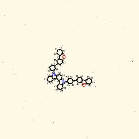 c1cc(-c2ccc3oc4ccccc4c3c2)cc(-n2c3ccccc3c3c4c5ccccc5n(-c5ccc(-c6ccc7c(c6)oc6ccccc67)cc5)c4ccc32)c1